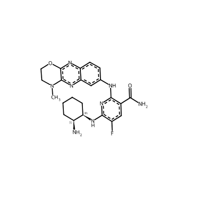 CN1CCOc2nc3ccc(Nc4nc(N[C@@H]5CCCC[C@@H]5N)c(F)cc4C(N)=O)cc3nc21